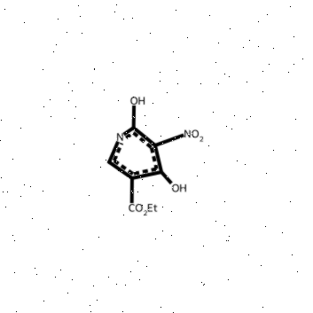 CCOC(=O)c1cnc(O)c([N+](=O)[O-])c1O